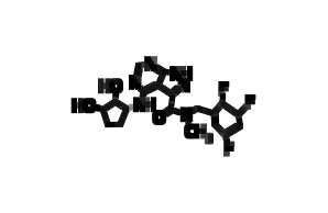 CN(CC1=CC(F)=CC(F)C1F)C(=O)c1n[nH]c2ncnc(N[C@@H]3CC[C@@H](O)[C@H]3O)c12